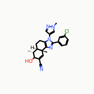 C[C@H]1C(O)C(C#N)=C[C@@]2(C)c3nc(-c4cccc(Cl)c4)n(-c4cnn(C)c4)c3CC[C@H]12